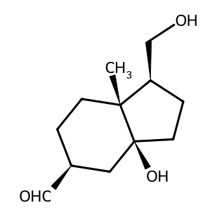 C[C@]12CC[C@H](C=O)C[C@@]1(O)CC[C@@H]2CO